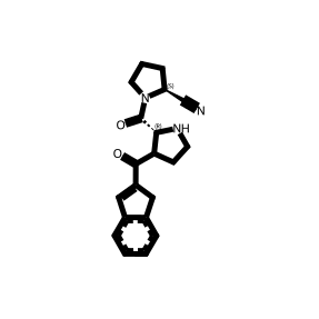 N#C[C@@H]1CCCN1C(=O)[C@@H]1NCCC1C(=O)C1=Cc2ccccc2C1